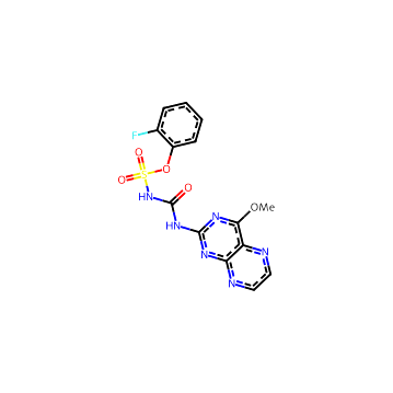 COc1nc(NC(=O)NS(=O)(=O)Oc2ccccc2F)nc2nccnc12